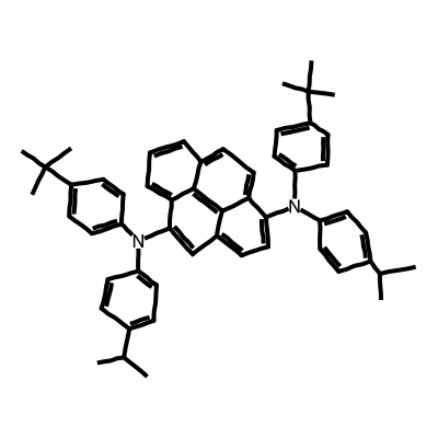 CC(C)c1ccc(N(c2ccc(C(C)(C)C)cc2)c2cc3ccc(N(c4ccc(C(C)C)cc4)c4ccc(C(C)(C)C)cc4)c4ccc5cccc2c5c34)cc1